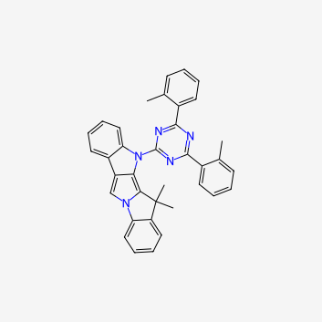 Cc1ccccc1-c1nc(-c2ccccc2C)nc(-n2c3ccccc3c3cn4c(c32)C(C)(C)c2ccccc2-4)n1